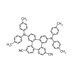 Cc1ccc(N(c2ccc(C)cc2)c2ccc3c(c2)-c2cc(C#N)ccc2-c2ccc(C#N)cc2-c2cc(N(c4ccc(C)cc4)c4ccc(C)cc4)ccc2-3)cc1